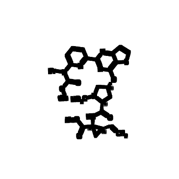 C=C[C@@H]1C[C@]1(NC(=O)[C@@H]1C[C@@H](Oc2nc(-c3cccc(N(C(=O)OC(C)(C)C)C(C)C)n3)nc3ccsc23)CN1C(=O)O)C(=O)OC